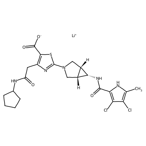 Cc1[nH]c(C(=O)N[C@@H]2[C@@H]3CN(c4nc(CC(=O)NC5CCCC5)c(C(=O)[O-])s4)C[C@@H]32)c(Cl)c1Cl.[Li+]